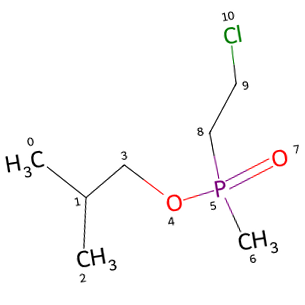 CC(C)COP(C)(=O)CCCl